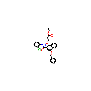 CCOC(=O)CCOc1c(C(=O)Nc2ccccc2Cl)cc(OCc2ccccc2)c2ccccc12